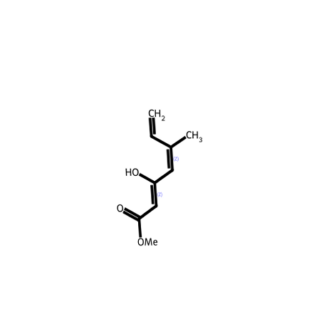 C=C/C(C)=C\C(O)=C\C(=O)OC